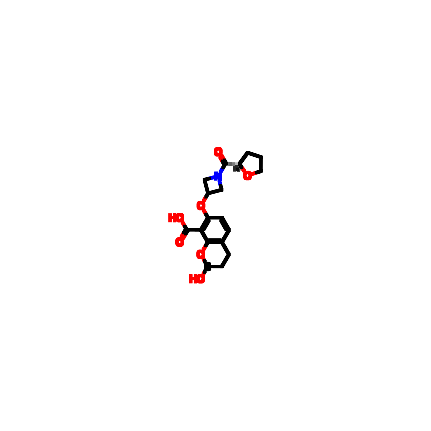 O=C(O)c1c(OC2CN(C(=O)[C@@H]3CCCO3)C2)ccc2c1OB(O)CC2